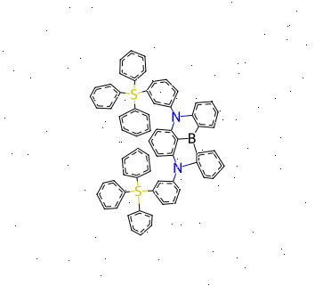 c1ccc(S(c2ccccc2)(c2ccccc2)c2cccc(N3c4ccccc4B4c5ccccc5N(c5cccc(S(c6ccccc6)(c6ccccc6)c6ccccc6)c5)c5cccc3c54)c2)cc1